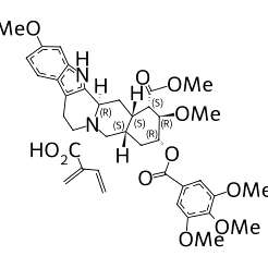 C=CC(=C)C(=O)O.COC(=O)[C@H]1[C@H]2C[C@@H]3c4[nH]c5cc(OC)ccc5c4CCN3C[C@H]2C[C@@H](OC(=O)c2cc(OC)c(OC)c(OC)c2)[C@@H]1OC